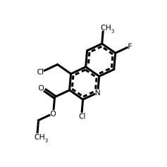 CCOC(=O)c1c(Cl)nc2cc(F)c(C)cc2c1CCl